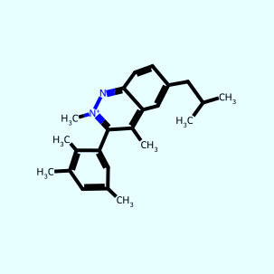 Cc1cc(C)c(C)c(-c2c(C)c3cc(CC(C)C)ccc3n[n+]2C)c1